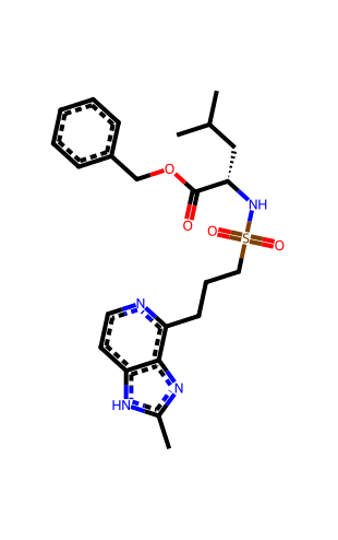 Cc1nc2c(CCCS(=O)(=O)N[C@@H](CC(C)C)C(=O)OCc3ccccc3)nccc2[nH]1